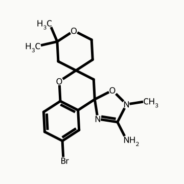 CN1OC2(CC3(CCOC(C)(C)C3)Oc3ccc(Br)cc32)N=C1N